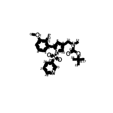 COc1cccc(-c2cc(CN(C)C(=O)OC(C)(C)C)cn2S(=O)(=O)c2cccnc2)c1F